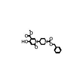 COC(=O)c1cn(C2CCN(C(=O)OCc3ccccc3)CC2)c(=O)cc1O